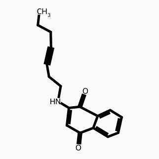 CCCC#CCCNC1=CC(=O)c2ccccc2C1=O